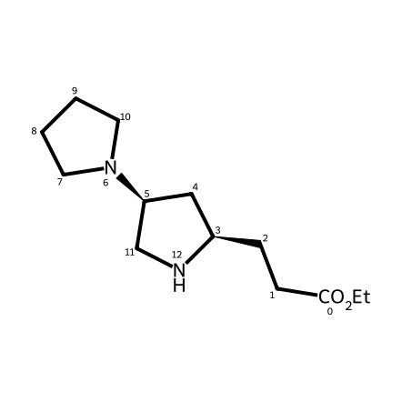 CCOC(=O)CC[C@@H]1C[C@H](N2CCCC2)CN1